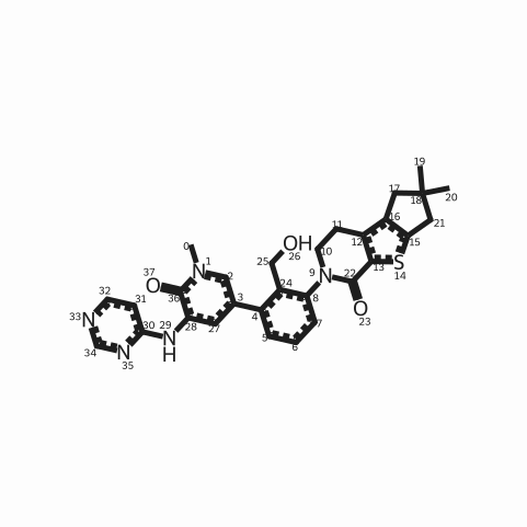 Cn1cc(-c2cccc(N3CCc4c(sc5c4CC(C)(C)C5)C3=O)c2CO)cc(Nc2ccncn2)c1=O